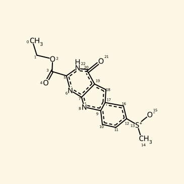 CCOC(=O)c1nc2nc3ccc([S+](C)[O-])cc3cc2c(=O)[nH]1